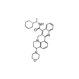 CC(NC(=O)c1c(CN2CCC(N3CCOCC3)CC2)c(-c2ccccc2)nc2ccccc12)C1CCCCC1